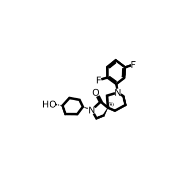 O=C1N([C@H]2CC[C@@H](O)CC2)CC[C@@]12CCCN(c1cc(F)ccc1F)C2